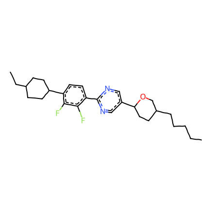 CCCCCC1CCC(c2cnc(-c3ccc(C4CCC(CC)CC4)c(F)c3F)nc2)OC1